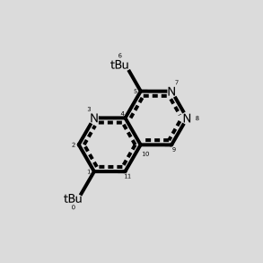 CC(C)(C)c1cnc2c(C(C)(C)C)nncc2c1